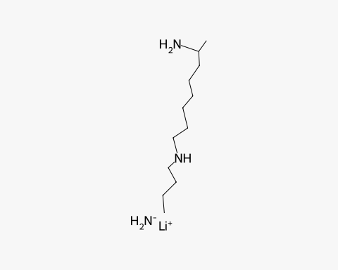 CCCCNCCCCCCC(C)N.[Li+].[NH2-]